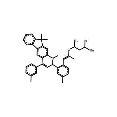 CCC(C)C(O)CC(O/C(C)=C/c1ccc(C)cc1C1C=C(c2cccc(C)c2)c2cc3c(cc2N1C)C(C)(C)c1ccccc1-3)C(C)CC